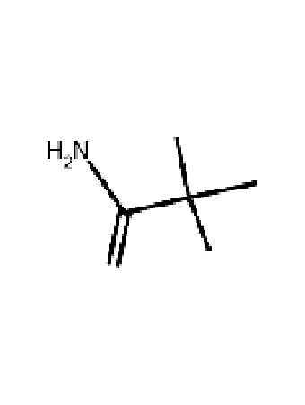 C=C(N)C(C)(C)C